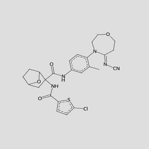 Cc1cc(NC(=O)C2(NC(=O)c3ccc(Cl)s3)CC3CCC2O3)ccc1N1CCOCCC1=NC#N